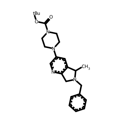 CC1c2cc(N3CCN(C(=O)OC(C)(C)C)CC3)cnc2CN1Cc1ccccc1